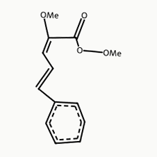 COOC(=O)C(=CC=Cc1ccccc1)OC